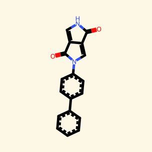 O=C1NC=C2C(=O)N(c3ccc(-c4ccccc4)cc3)C=C12